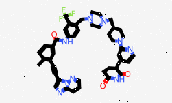 Cc1ccc(C(=O)Nc2ccc(CN3CCN(CC4CCN(c5cc(C6CCC(=O)NC6=O)ccn5)CC4)CC3)c(C(F)(F)F)c2)cc1C#Cc1cnc2cccnn12